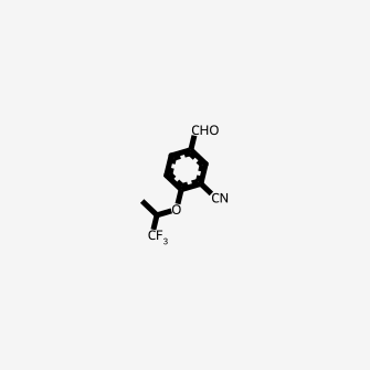 CC(Oc1ccc(C=O)cc1C#N)C(F)(F)F